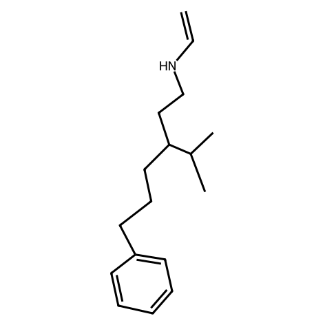 C=CNCCC(CCCc1ccccc1)C(C)C